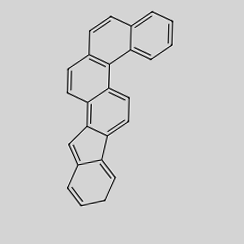 C1=CC2=Cc3c(ccc4c3ccc3ccc5ccccc5c34)C2=CC1